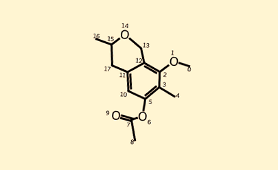 COc1c(C)c(OC(C)=O)cc2c1COC(C)C2